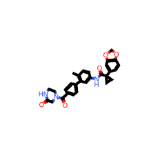 Cc1ccc(NC(=O)C2(c3ccc4c(c3)OCO4)CC2)cc1-c1ccc(C(=O)N2CCNC(=O)C2)cc1